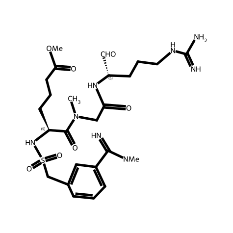 CNC(=N)c1cccc(CS(=O)(=O)N[C@@H](CCCC(=O)OC)C(=O)N(C)CC(=O)N[C@H](C=O)CCCNC(=N)N)c1